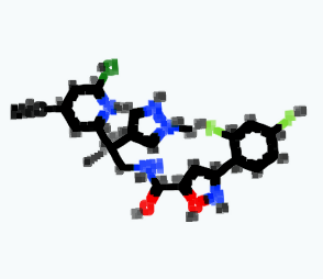 COc1cc(Cl)nc([C@](C)(CNC(=O)c2cc(-c3ccc(F)cc3F)no2)c2cnn(C)c2)c1